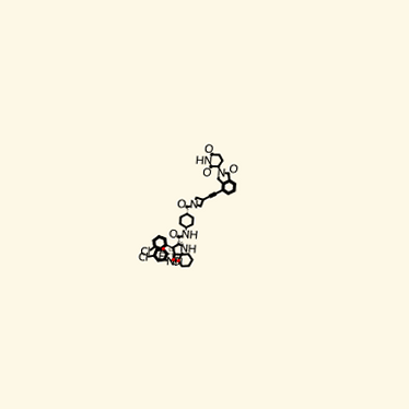 O=C1CCC(N2Cc3c(C#CC4CN(C(=O)[C@H]5CC[C@H](NC(=O)[C@@H]6NC7(CCCCC7)[C@@]7(C(=O)Nc8cc(Cl)ccc87)[C@H]6c6cccc(Cl)c6F)CC5)C4)cccc3C2=O)C(=O)N1